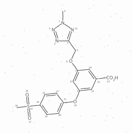 Cn1nnc(COc2cc(Oc3ccc(S(C)(=O)=O)cc3)cc(C(=O)O)c2)n1